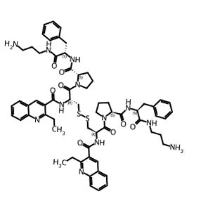 CCc1nc2ccccc2cc1C(=O)N[C@@H](CSSC[C@H](NC(=O)c1cc2ccccc2nc1CC)C(=O)N1CCC[C@H]1C(=O)N[C@@H](Cc1ccccc1)C(=O)NCCCN)C(=O)N1CCC[C@H]1C(=O)N[C@@H](Cc1ccccc1)C(=O)NCCCN